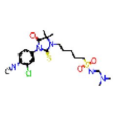 [C-]#[N+]c1ccc(N2C(=O)C(C)(C)N(CCCCCS(=O)(=O)/N=C/N(C)C)C2=S)cc1Cl